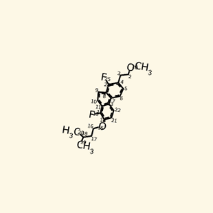 COCCc1ccc2c(ccc3c(F)c(OCCC(C)C)ccc32)c1F